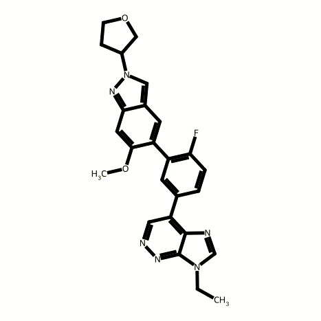 CCn1cnc2c(-c3ccc(F)c(-c4cc5cn(C6CCOC6)nc5cc4OC)c3)cnnc21